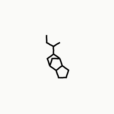 CC[C](C)C1CC2CC1C1CCCC21